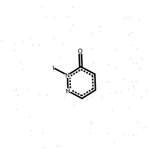 O=c1cccnn1I